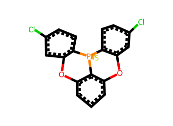 S=P12c3ccc(Cl)cc3Oc3cccc(c31)Oc1cc(Cl)ccc12